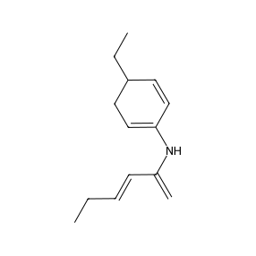 C=C(/C=C/CC)NC1=CCC(CC)C=C1